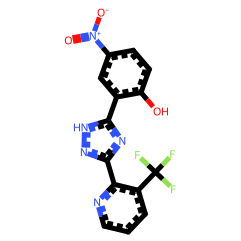 O=[N+]([O-])c1ccc(O)c(-c2nc(-c3ncccc3C(F)(F)F)n[nH]2)c1